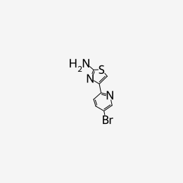 Nc1nc(-c2ccc(Br)cn2)cs1